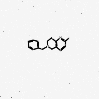 Ic1ccc2c(n1)CCN(Cc1ccccc1)C2